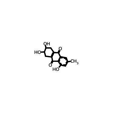 Cc1cc(O)c2c(c1)C(=O)C1=C(CC(O)C(O)C1)C2=O